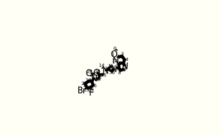 COc1ccc2nccc(N3CC(N(C)CC4CN(c5ccc(Br)c(F)c5)C(=O)O4)C3)c2n1